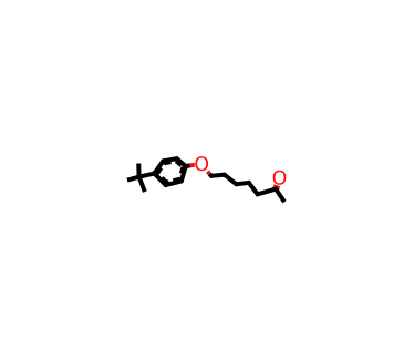 CC(=O)CCCCCOc1ccc(C(C)(C)C)cc1